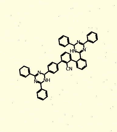 N#Cc1c(-c2ccc(C3N=C(C4=CCCC=C4)N=C(c4ccccc4)N3)cc2)cccc1-c1ccccc1C1=NC(c2ccccc2)=NC(c2ccccc2)N1